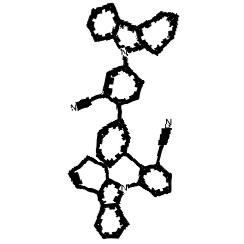 N#Cc1cc(-n2c3ccccc3c3ccccc32)ccc1-c1cccc(-c2c(C#N)cccc2-n2c3c(c4ccccc42)C=CCC3)c1